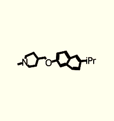 CC(C)c1ccc2cc(OCC3CCN(C)CC3)ccc2c1